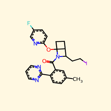 Cc1ccc(-c2ncccn2)c(C(=O)N2C(CCI)C3CCC32Oc2ccc(F)cn2)c1